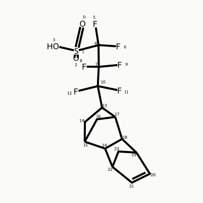 O=S(=O)(O)C(F)(F)C(F)(F)C(F)(F)C1CC2CC1C1C3C=CC(C3)C21